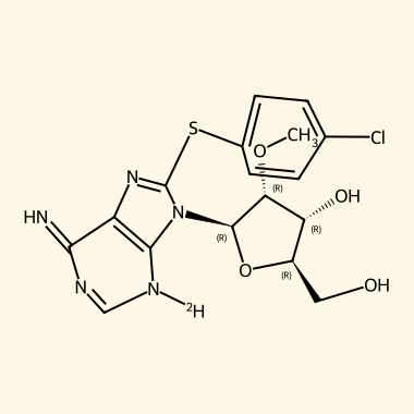 [2H]n1cnc(=N)c2nc(Sc3ccc(Cl)cc3)n([C@@H]3O[C@H](CO)[C@@H](O)[C@H]3OC)c21